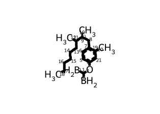 BC(B)Oc1ccc(C[C@H](C)C(C)CCCCCC)c(C)c1